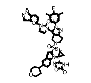 Cc1cc(-n2nc3c(c2N2C=CN(c4ccc5c(cnn5C)c4)C2O)CN(S(=O)(=O)c2cc4cc(C5CCOCC5)ccc4n2[C@]2(c4noc(=O)[nH]4)C[C@@H]2C)CC3)cc(C)c1F